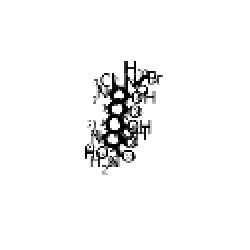 CN(C)c1c(Cl)c(NC(=O)CBr)c(O)c2c1CC1CC3[C@H](N(C)C)C(O)=C(C(N)=O)C(=O)[C@@]3(O)C(O)=C1C2=O